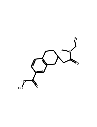 CC(C)CN1C[C@]2(CCc3ccc(C(=O)NO)cc3C2)CC1=O